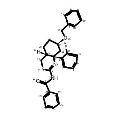 O=C(NC1=N[C@@]2(c3ccccc3F)C[C@H](OCc3ccccc3)CC[C@H]2CS1)c1ccccc1